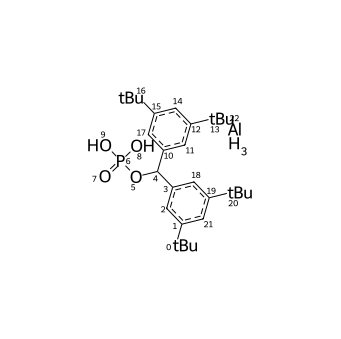 CC(C)(C)c1cc(C(OP(=O)(O)O)c2cc(C(C)(C)C)cc(C(C)(C)C)c2)cc(C(C)(C)C)c1.[AlH3]